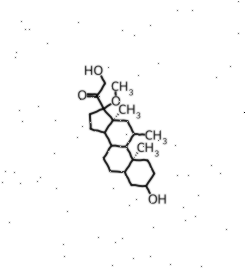 COC1(C(=O)CO)CCC2C3CCC4CC(O)CC[C@]4(C)C3C(C)C[C@@]21C